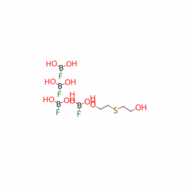 OB(O)F.OB(O)F.OB(O)F.OB(O)F.OCCSCCO